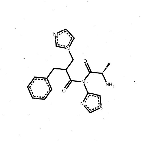 C[C@@H](N)C(=O)N(C(=O)C(Cc1ccccc1)Cn1ccnc1)c1cscn1